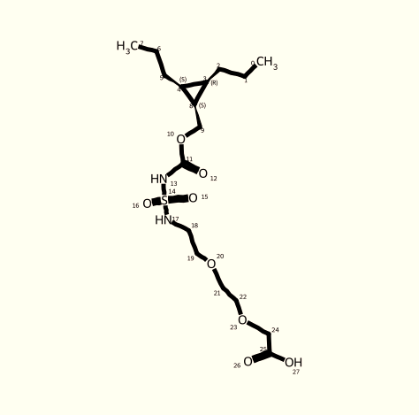 CCC[C@@H]1[C@H](CCC)[C@@H]1COC(=O)NS(=O)(=O)NCCOCCOCC(=O)O